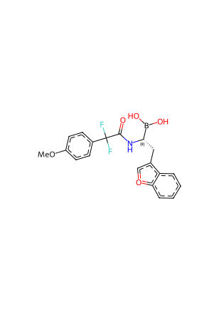 COc1ccc(C(F)(F)C(=O)N[C@@H](Cc2coc3ccccc23)B(O)O)cc1